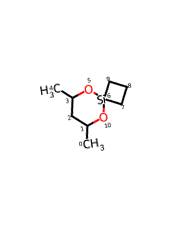 CC1CC(C)O[Si]2(CCC2)O1